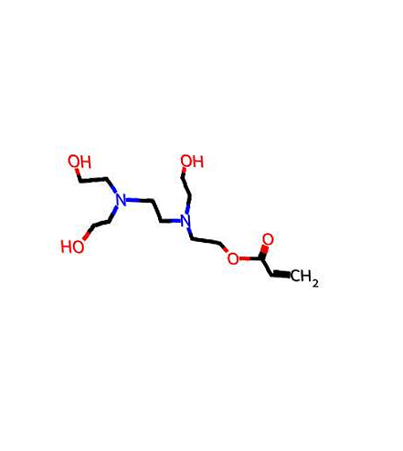 C=CC(=O)OCCN(CCO)CCN(CCO)CCO